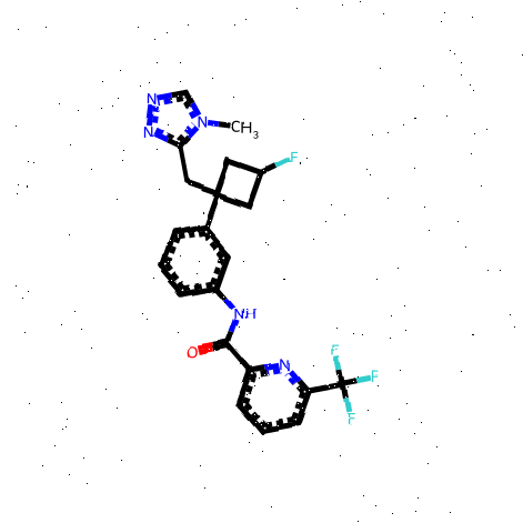 Cn1cnnc1CC1(c2cccc(NC(=O)c3cccc(C(F)(F)F)n3)c2)CC(F)C1